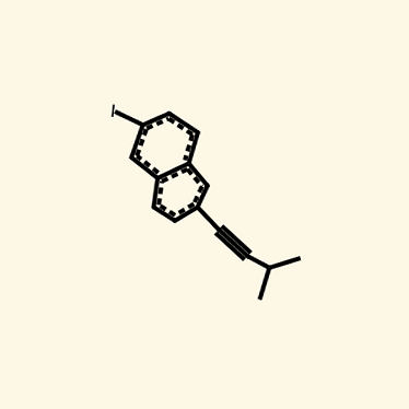 CC(C)C#Cc1ccc2cc(I)ccc2c1